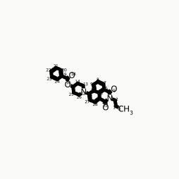 CCCN1C(=O)c2cccc3c(N4CCC(OC(=O)c5ccccc5)CC4)ccc(c23)C1=O